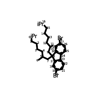 CC(C)CCCCC(C)CC1(CC(C)CCCCC(C)C)c2cc(Br)ccc2-c2ccc(Br)cc21